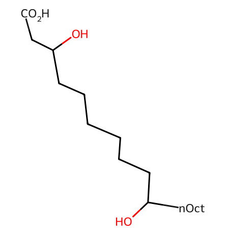 CCCCCCCCC(O)CCCCCCC(O)CC(=O)O